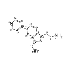 CC(C)Cn1cc(CCN)c2ccc(-c3ccncc3)cc21